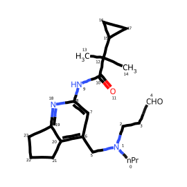 CCCN(CCC=O)Cc1cc(NC(=O)C(C)(C)C2CC2)nc2c1CCC2